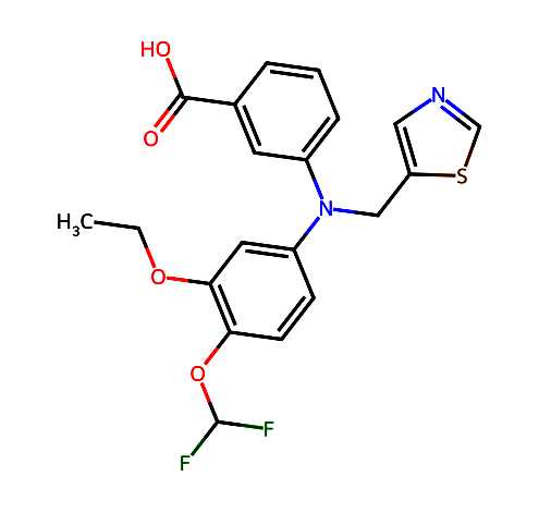 CCOc1cc(N(Cc2cncs2)c2cccc(C(=O)O)c2)ccc1OC(F)F